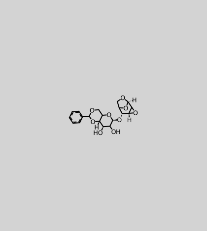 OC1[C@H](O[C@@H]2C3CO[C@H](O3)C3O[C@@H]32)OC2COC(c3ccccc3)O[C@H]2[C@@H]1O